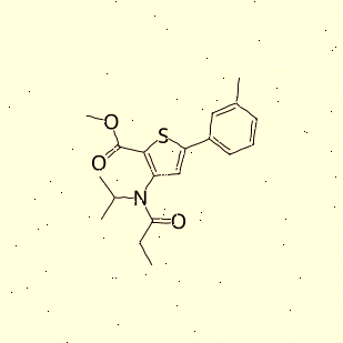 CCC(=O)N(c1cc(-c2cccc(C)c2)sc1C(=O)OC)C(C)C